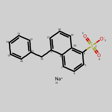 O=S(=O)([O-])c1cccc2c(Cc3ccccc3)cccc12.[Na+]